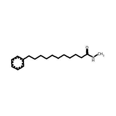 CNC(=O)CCCCCCCCCCc1ccccc1